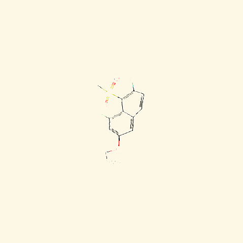 COCOc1cc(Cl)c2c(S(C)(=O)=O)c(F)ccc2c1